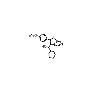 COc1ccc(-c2sc3cncn3c2C(O)C2CCCCC2)cc1